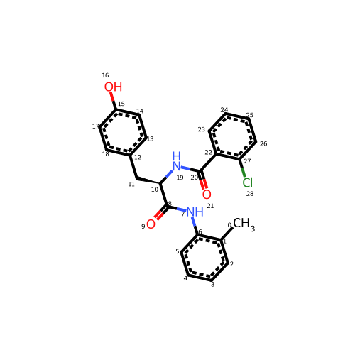 Cc1ccccc1NC(=O)[C@@H](Cc1ccc(O)cc1)NC(=O)c1ccccc1Cl